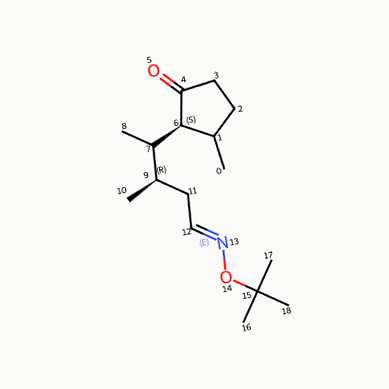 CC1CCC(=O)[C@@H]1C(C)[C@H](C)C/C=N/OC(C)(C)C